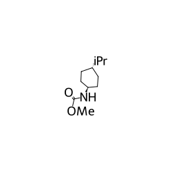 COC(=O)N[C@H]1CC[C@H](C(C)C)CC1